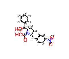 O=C(O)N1C(Cc2ccc([N+](=O)[O-])cc2)CCC1[C@H](O)c1ccccc1